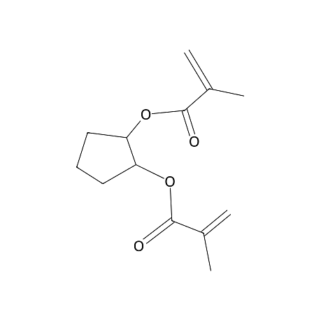 C=C(C)C(=O)OC1CCCC1OC(=O)C(=C)C